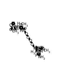 CC[C@@H]1C(=O)N(C)c2cnc(Nc3ccc(C(=O)NCCOCCOCCOCCOCCn4cc(Nc5nc(N6C[C@@H](N)[C@H](F)C6)nc6c5ncn6C)c(OC)n4)cc3OC)nc2N1C1CCCC1